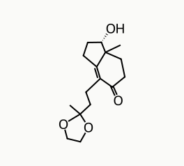 CC1(CCC2=C3CC[C@H](O)C3(C)CCC2=O)OCCO1